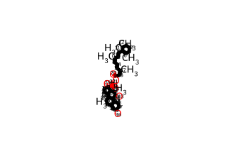 CC(C=CC1=C(C)CCCC1(C)C)=CC=CC(C)=CC(=O)OCC(=O)[C@@]1(O)CC[C@H]2[C@@H]3CCC4=CC(=O)CC[C@]4(C)[C@H]3C(=O)C[C@@]21C